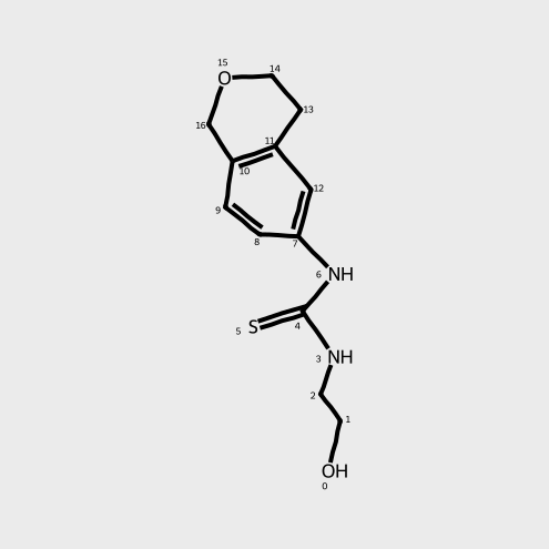 OCCNC(=S)Nc1ccc2c(c1)CCOC2